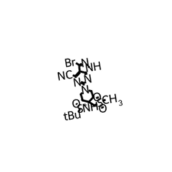 CC(C)(C)[S+]([O-])NC1(CS(C)(=O)=O)CCN(c2nc(C#N)c3c(Br)n[nH]c3n2)CC1